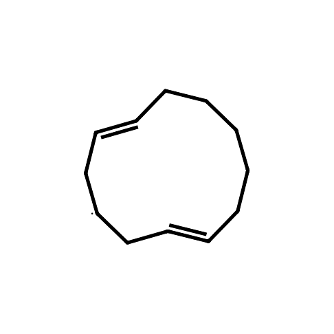 [CH]1C/C=C/CCCCC/C=C/C1